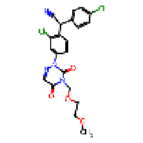 COCCOCn1c(=O)cnn(-c2ccc(C(C#N)c3ccc(Cl)cc3)c(Cl)c2)c1=O